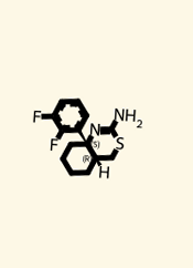 NC1=N[C@@]2(c3cccc(F)c3F)CCCC[C@H]2CS1